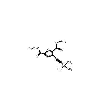 COC(=O)c1cc(C#C[Si](C)(C)C)c(C(=O)OC)o1